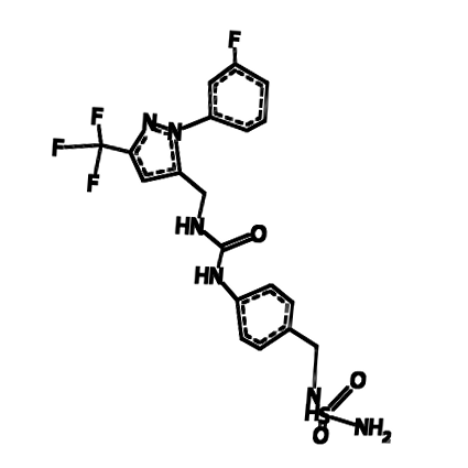 NS(=O)(=O)NCc1ccc(NC(=O)NCc2cc(C(F)(F)F)nn2-c2cccc(F)c2)cc1